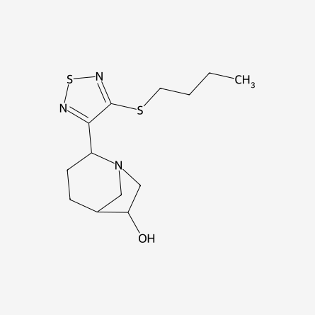 CCCCSc1nsnc1C1CCC2CN1CC2O